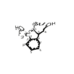 CC(C)(C)N(C(=O)O)C(CO)c1ccccc1C(F)(F)F